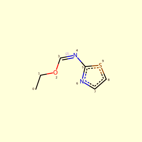 CCO/C=N\c1nccs1